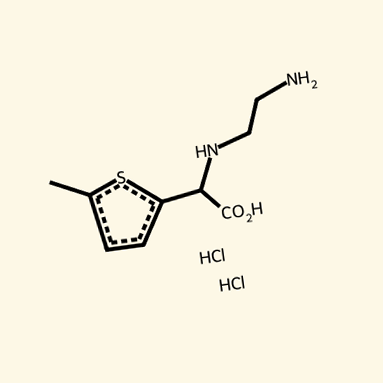 Cc1ccc(C(NCCN)C(=O)O)s1.Cl.Cl